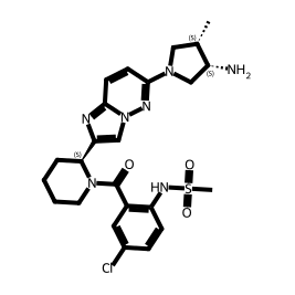 C[C@H]1CN(c2ccc3nc([C@@H]4CCCCN4C(=O)c4cc(Cl)ccc4NS(C)(=O)=O)cn3n2)C[C@H]1N